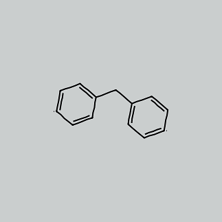 [c]1ccc(Cc2cc[c]cc2)cc1